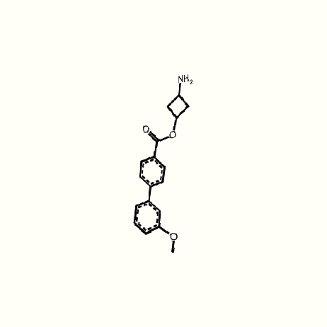 COc1cccc(-c2ccc(C(=O)OC3CC(N)C3)cc2)c1